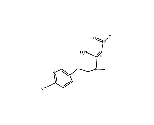 CN(CCc1ccc(Cl)nc1)/C(N)=C/[N+](=O)[O-]